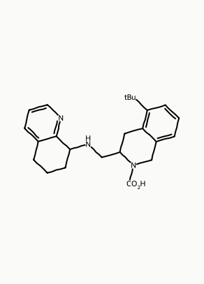 CC(C)(C)c1cccc2c1CC(CNC1CCCc3cccnc31)N(C(=O)O)C2